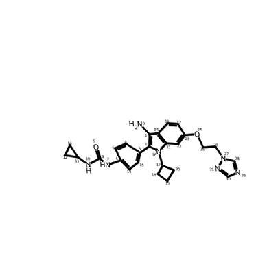 Nc1c(-c2ccc(NC(=O)NC3CC3)cc2)n(C2CCC2)c2cc(OCCn3cncn3)ccc12